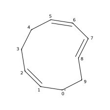 [CH]1/C=C\CC/C=C\C=C\C1